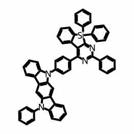 c1ccc(-c2nc(-c3ccc(-n4c5ccccc5c5cc6c(cc54)c4ccccc4n6-c4ccccc4)cc3)c3c(n2)[Si](c2ccccc2)(c2ccccc2)c2ccccc2-3)cc1